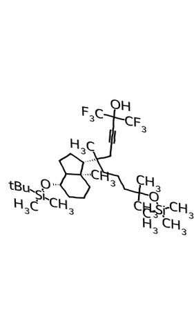 CC(C)(CCCC(C)(CC#CC(O)(C(F)(F)F)C(F)(F)F)[C@H]1CCC2[C@@H](O[Si](C)(C)C(C)(C)C)CCC[C@@]21C)O[Si](C)(C)C